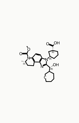 COC(=O)N1c2ccc3c(nc([C@H](O)C4CCCCCC4)n3[C@@H]3CCC[C@@H](C(=O)O)C3)c2CC[C@@H]1C